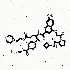 CCOC(=O)N1CCN(C(=O)C(CCC(=O)OCCN2CCOCC2)NC(=O)c2cc(OCC(=O)N3CCCC3C(=O)NC3CCC3)c3ccc(C)cc3n2)CC1